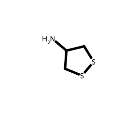 NC1CSSC1